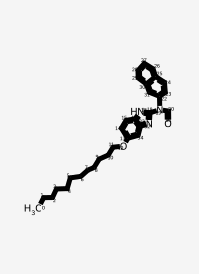 CCCCCCCCCCCCOc1ccc2[nH]c(N(C=O)c3ccc4ccccc4c3)nc2c1